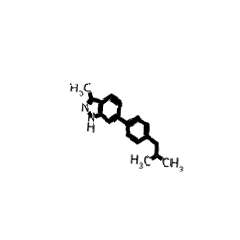 Cc1n[nH]c2cc(-c3ccc(CC(C)C)cc3)ccc12